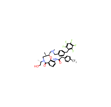 C[C@@H]1CN([C@@H](C)CO)C(=O)c2cccc(NC(=O)Cc3ccc(C(F)(F)F)cc3)c2O[C@@H]1CN(C)Cc1ccc(Cc2c(F)c(F)c(F)c(F)c2F)cc1